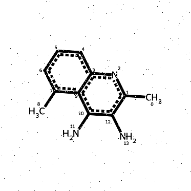 Cc1nc2cccc(C)c2c(N)c1N